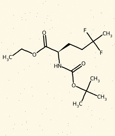 CCOC(=O)[C@@H](CCC(C)(F)F)NC(=O)OC(C)(C)C